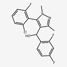 Cc1nn(C)c(-c2c(F)cccc2Cl)c1C(O)c1ccc(F)cc1F